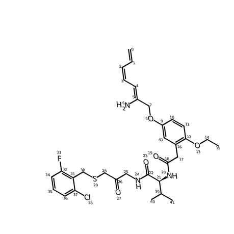 C=C/C=C\C=C(/N)COc1ccc(OCC)c(CC(=O)N[C@H](C(=O)NCC(=O)CSCc2c(F)cccc2Cl)C(C)C)c1